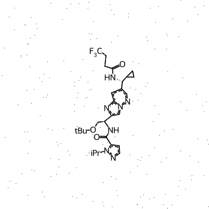 CC(C)n1nccc1C(=O)N[C@@H](COC(C)(C)C)c1cn2ncc([C@H](NC(=O)CCC(F)(F)F)C3CC3)cc2n1